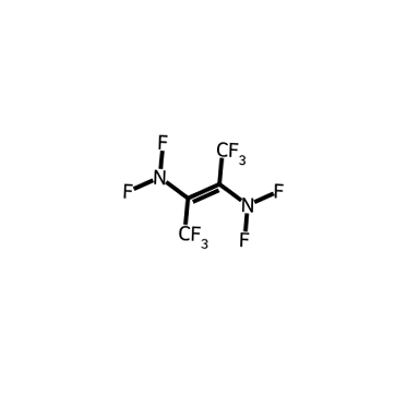 FN(F)C(=C(N(F)F)C(F)(F)F)C(F)(F)F